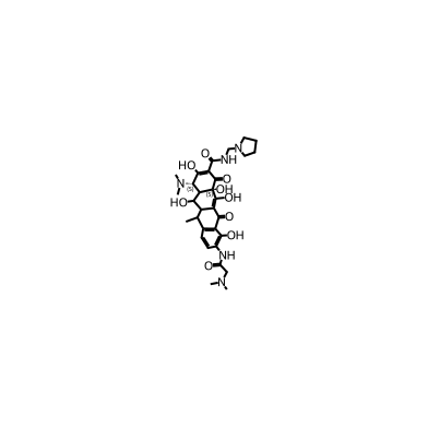 CC1c2ccc(NC(=O)CN(C)C)c(O)c2C(=O)C2=C(O)[C@]3(O)C(=O)C(C(=O)NCN4CCCC4)=C(O)[C@@H](N(C)C)C3C(O)C21